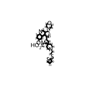 COc1ccc2ncc(CN3CCOCC3)c([C@H](F)CCC3(CC(=O)O)CCN(CCSc4cccs4)CC3)c2c1